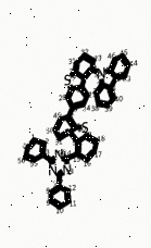 c1ccc(-c2nc(-c3ccccc3)nc(-c3cccc4sc5c(-c6ccc7c(c6)sc6cccc(-n8c9ccccc9c9ccccc98)c67)cccc5c34)n2)cc1